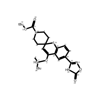 C[SiH](OC1=CC2(CCN(C(=O)OC(C)(C)C)CC2)Sc2ccc(-c3noc(=O)[nH]3)cc21)C(C)(C)C